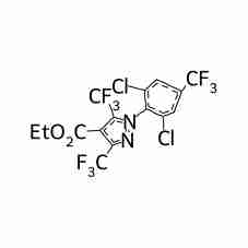 CCOC(=O)c1c(C(F)(F)F)nn(-c2c(Cl)cc(C(F)(F)F)cc2Cl)c1C(F)(F)F